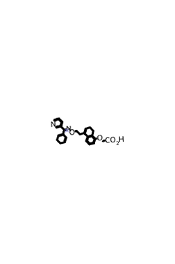 O=C(O)COc1cccc2c1CCC=C2CCO/N=C(\C1=CCCC=C1)c1cccnc1